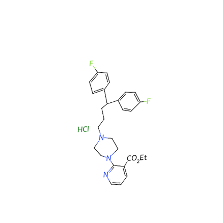 CCOC(=O)c1cccnc1N1CCN(CCCC(c2ccc(F)cc2)c2ccc(F)cc2)CC1.Cl